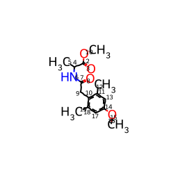 COC(=O)C(C)NC(=O)Cc1c(C)cc(OC)cc1C